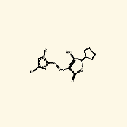 CC(=O)n1cc(Br)nc1N=NC1=C(O)C(C2CCCC2)OC1=O